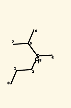 CCC[SH](C)C(C)C